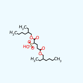 CCCCC(CC)COC(=O)CCC(C(=O)OCC(CC)CCCC)S(=O)(=O)O